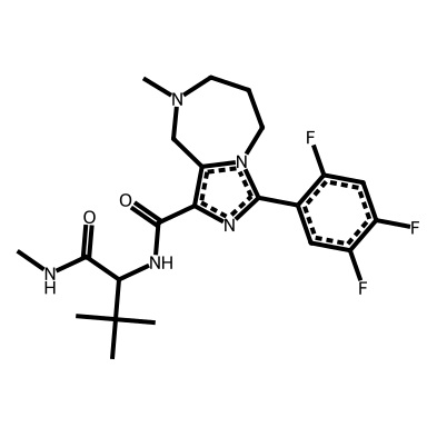 CNC(=O)C(NC(=O)c1nc(-c2cc(F)c(F)cc2F)n2c1CN(C)CCC2)C(C)(C)C